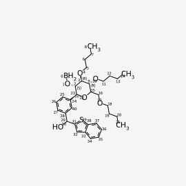 BO[C@@H]1[C@@H](OCCCC)[C@H](OCCCC)C(COCCCC)O[C@H]1c1cccc(C(O)c2cc3ccccc3s2)c1